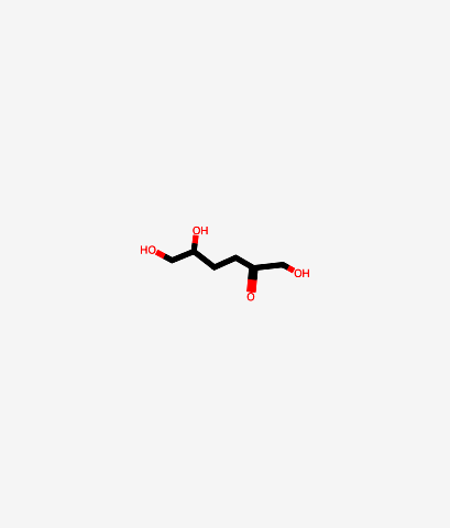 O=C(CO)CCC(O)CO